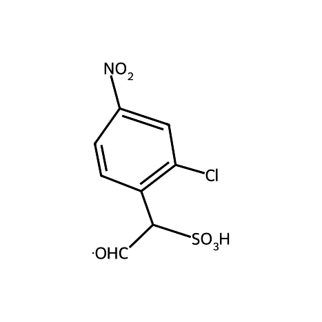 O=[C]C(c1ccc([N+](=O)[O-])cc1Cl)S(=O)(=O)O